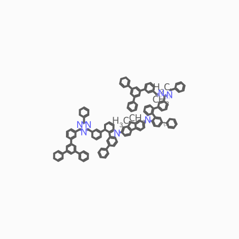 C=C(/N=C(\N=C(/C)c1cccc(-c2cc(C3=CCCC=C3)cc(-c3ccccc3)c2)c1)c1cccc(-c2cccc3c2c2cc([C@@H]4C=CC=CC4)ccc2n3-c2ccc3c(c2)C(C)(C)c2cc(-n4c5c(c6cc(-c7ccccc7)ccc64)C(C4=CC(c6nc(C7=CC=CCC7)nc(-c7cccc(-c8cc(C9=CCCC=C9)cc(-c9ccccc9)c8)c7)n6)CC=C4)CC=C5)ccc2-3)c1)c1ccccc1